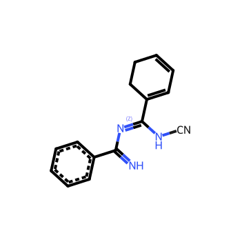 N#CN/C(=N\C(=N)c1ccccc1)C1=CC=CCC1